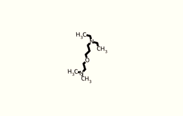 CCN(CC)CCCOCCN(C)C